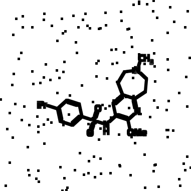 COc1nc2c(cc1NS(=O)(=O)c1ccc(C(C)C)cc1)CCN(C)CC2